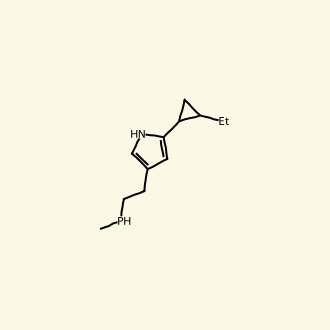 CCC1CC1c1cc(CCPC)c[nH]1